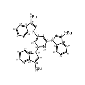 CC(C)(C)c1cn(-c2cc(-n3cc(C(C)(C)C)c4ccccc43)nc(-n3cc(C(C)(C)C)c4ccccc43)n2)c2ccccc12